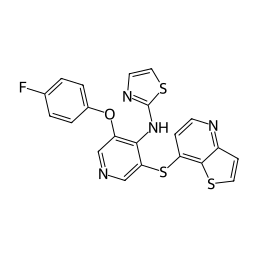 Fc1ccc(Oc2cncc(Sc3ccnc4ccsc34)c2Nc2nccs2)cc1